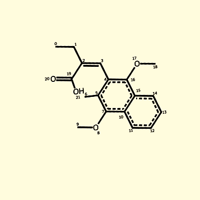 CC/C(=C/c1c(C)c(OC)c2ccccc2c1OC)C(=O)O